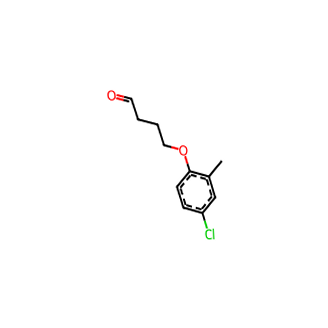 Cc1cc(Cl)ccc1OCCCC=O